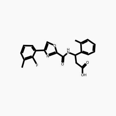 Cc1ccccc1C(CC(=O)O)NC(=O)c1nc(-c2cccc(C)c2F)co1